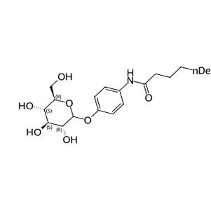 CCCCCCCCCCCCCC(=O)Nc1ccc(OC2O[C@H](CO)[C@@H](O)[C@H](O)[C@H]2O)cc1